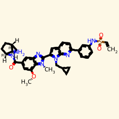 C=CS(=O)(=O)Nc1cccc(-c2ccc3cc(-c4nc5cc(C(=O)N6C[C@H]7CC[C@@H]6[C@@H]7N)cc(OC)c5n4C)n(CC4CC4)c3n2)c1